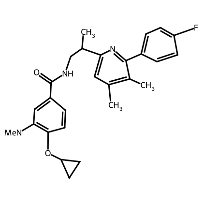 CNc1cc(C(=O)NCC(C)c2cc(C)c(C)c(-c3ccc(F)cc3)n2)ccc1OC1CC1